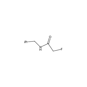 CC(C)CNC(=O)CF